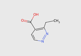 CCc1nnccc1C(=O)O